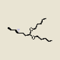 C=C/C=C/CCC(OCCCCC)OCCCCC